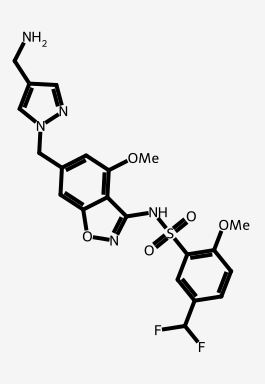 COc1ccc(C(F)F)cc1S(=O)(=O)Nc1noc2cc(Cn3cc(CN)cn3)cc(OC)c12